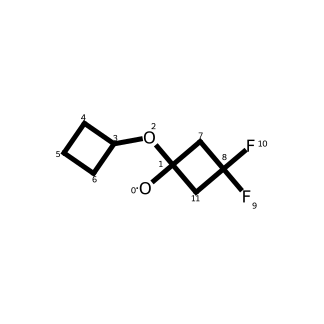 [O]C1(OC2CCC2)CC(F)(F)C1